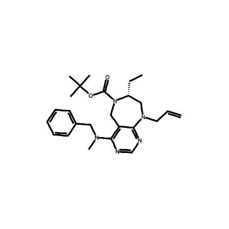 C=CCN1C[C@@H](CC)N(C(=O)OC(C)(C)C)Cc2c(N(C)Cc3ccccc3)ncnc21